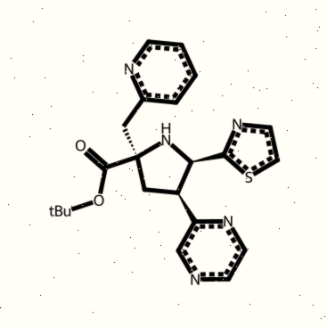 CC(C)(C)OC(=O)[C@]1(Cc2ccccn2)C[C@H](c2cnccn2)[C@H](c2nccs2)N1